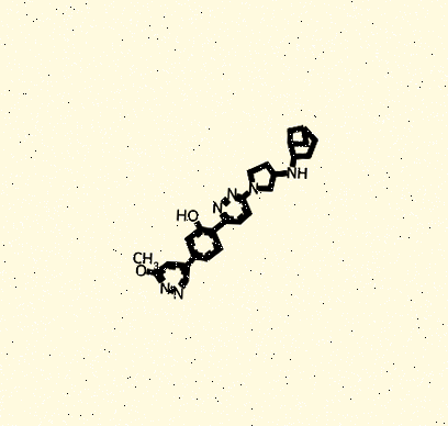 COc1cc(-c2ccc(-c3ccc(N4CCC(NC5CCC6CC5C6)C4)nn3)c(O)c2)cnn1